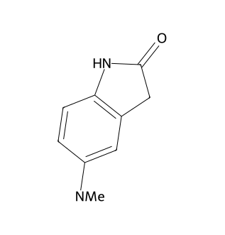 CNc1ccc2c(c1)CC(=O)N2